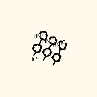 Cc1ccc(-c2cccc[nH+]2)cc1.Cc1ccc(-c2cccc[nH+]2)cc1.Cc1ccc(-c2cccc[nH+]2)cc1.[Ir+3]